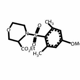 CCOC(=O)C1COCCN1S(=O)(=O)c1c(C)cc(OC)cc1C